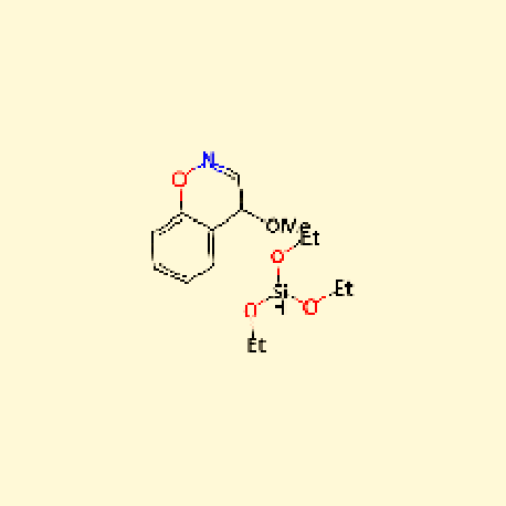 CCO[SiH](OCC)OCC.COC1C=NOc2ccccc21